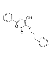 O=c1oc(-c2ccccc2)cc(O)c1SCCCc1ccccc1